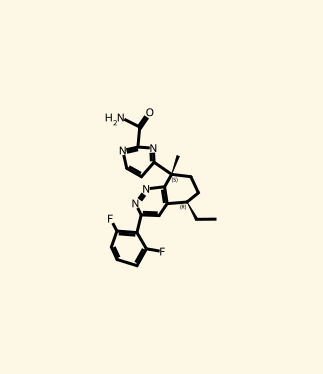 CC[C@@H]1CC[C@@](C)(c2ccnc(C(N)=O)n2)c2nnc(-c3c(F)cccc3F)cc21